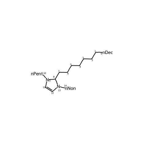 CCCCCCCCCCCCCCCCCC1N(CCCCC)C=CN1CCCCCCCCC